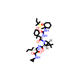 CCCC[C@H](NC(=O)[C@@H]1[C@@H]2[C@H](CN1C(=O)[C@@H](NC(=O)NC1(CS(=O)(=O)C(C)(C)CC)CCCCC1)C1(C)CCCCC1)C2(C)C)C(=O)C(=O)NC1CC1